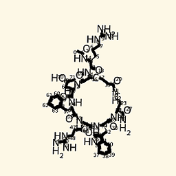 CC(=O)N[C@@H](CCCNC(=N)N)C(=O)N[C@H]1CCCC(=O)NCC[C@@H](C(N)=O)NC(=O)[C@H](Cc2c[nH]c3ccccc23)NC(O)[C@H](CCCNC(=N)N)NC(=O)[C@@H](Cc2ccccc2)NC(=O)[C@@H]2C[C@@H](O)CN2C1=O